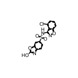 O=S(=O)(Nc1noc2cccc(Cl)c12)c1ccc2nc(O)oc2c1